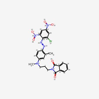 Cc1cc(N(C)CCCN2C(=O)c3ccccc3C2=O)ccc1/N=N/c1c(Br)cc([N+](=O)[O-])cc1[N+](=O)[O-]